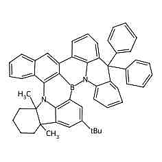 CC(C)(C)c1cc2c3c(c1)C1(C)CCCCC1(C)N3c1c3c(cc4ccccc14)-c1cccc4c1N(B23)c1ccccc1C4(c1ccccc1)c1ccccc1